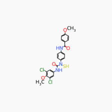 COc1ccc(C(=O)Nc2ccc(N(S)C(=O)Nc3cc(Cl)c(OC)c(Cl)c3)cc2)cc1